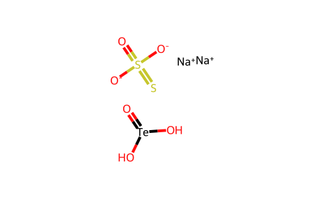 O=S([O-])([O-])=S.O=[Te](O)O.[Na+].[Na+]